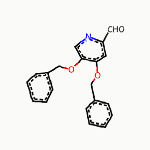 O=Cc1cc(OCc2ccccc2)c(OCc2ccccc2)cn1